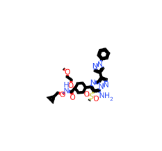 COCCOC1(C(=O)NOCC2CC2)CCC(c2nc3c(-c4cnn(-c5ccccc5)c4)cnn3c(N)c2S(C)(=O)=O)CC1